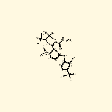 CNC(=O)N=C(OC(C(F)(F)F)C(F)(F)F)c1cc(Oc2ccc(C(F)(F)F)cc2Cl)ccc1[N+](=O)[O-]